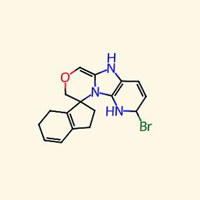 BrC1C=CC2=C(N1)N1C(=COCC13CCC1=C3CCC=C1)N2